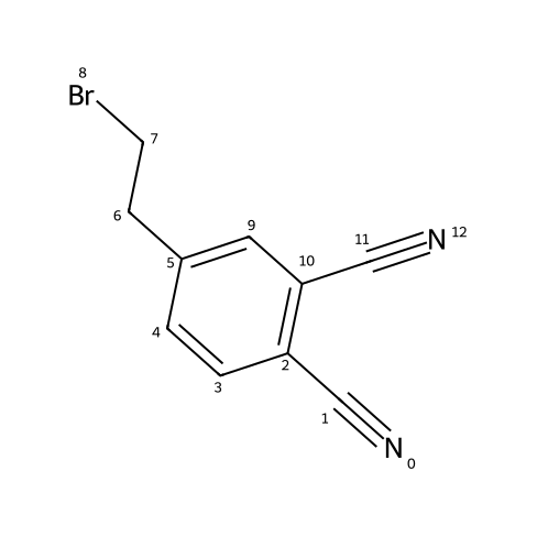 N#Cc1ccc(CCBr)cc1C#N